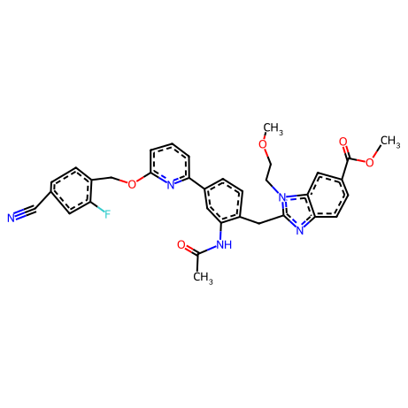 COCCn1c(Cc2ccc(-c3cccc(OCc4ccc(C#N)cc4F)n3)cc2NC(C)=O)nc2ccc(C(=O)OC)cc21